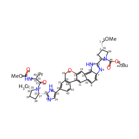 COC[C@H]1CC(c2nc3ccc4cc5c(cc4c3[nH]2)OCc2cc(-c3cnc([C@@H]4CC[C@H](C)N4C(=O)[C@@H](NC(=O)OC)C(C)C)[nH]3)ccc2-5)N(C(=O)OC(C)(C)C)C1